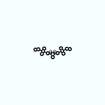 c1ccc2cc(-c3c4ccccc4c(-c4ccc5c(c4)oc4c6oc7cc(-c8c9ccccc9c(-c9ccc%10ccccc%10c9)c9ccccc89)ccc7c6c6ccccc6c54)c4ccccc34)ccc2c1